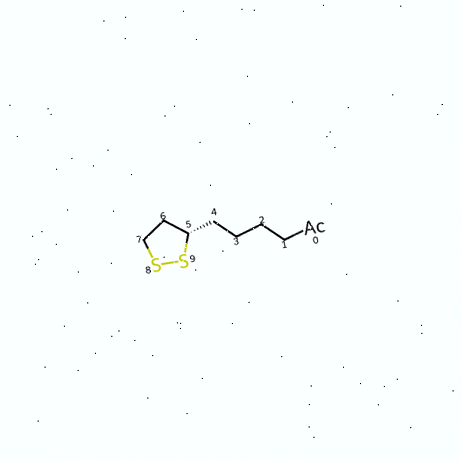 CC(=O)CCCC[C@H]1CCSS1